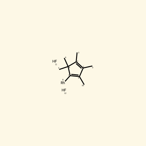 CC1=C(C)C(C)(C)[C]([Rh])=C1C.F.F